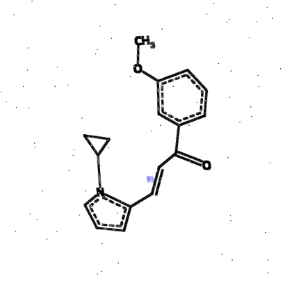 COc1cccc(C(=O)/C=C/c2cccn2C2CC2)c1